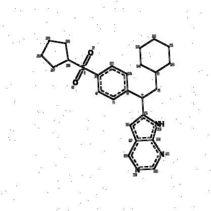 O=S(=O)(c1ccc(C(CC2CCCCC2)c2cc3cncnc3[nH]2)cc1)C1CCCC1